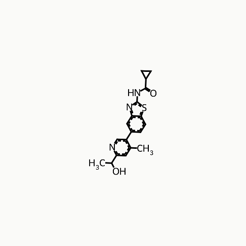 Cc1cc(C(C)O)ncc1-c1ccc2sc(NC(=O)C3CC3)nc2c1